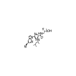 CC(C)CC(C)Nc1cc(-n2ccc3cc(C#N)cnc32)ncc1C(=O)NCC(F)C(C)(C)O